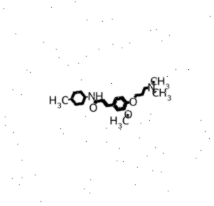 COc1cc(C=CC(=O)N[C@H]2CC[C@H](C)CC2)ccc1OCCCN(C)C